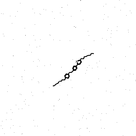 CCCCCCCCc1ccc(CCc2ccc(-c3ccc(CCCCCCCC)cn3)cc2)cc1